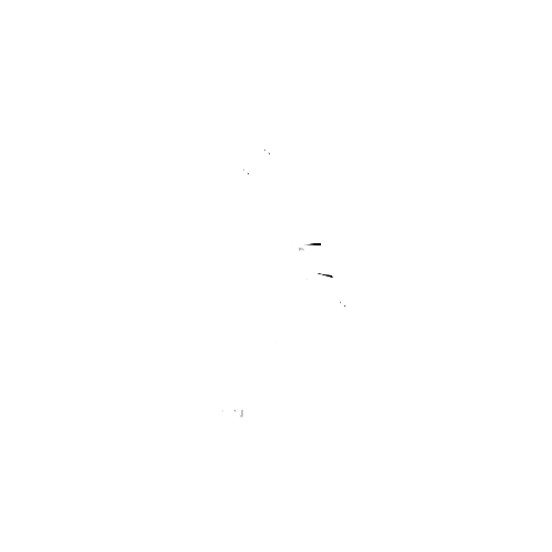 CC(=O)Nc1ccc(S(=O)(=O)N(CCO)C[C@H]2CCC3=Cc4c(cnn4-c4ccc(F)cc4)C[C@@]32C)cc1